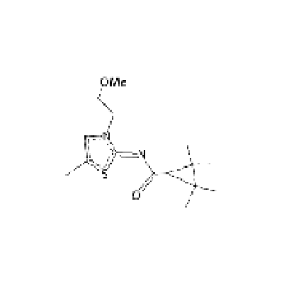 COCCn1cc(C)sc1=NC(=O)C1C(C)(C)C1(C)C